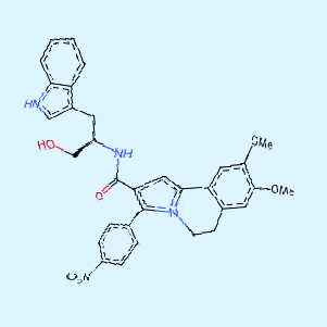 COc1cc2c(cc1OC)-c1cc(C(=O)N[C@@H](CO)Cc3c[nH]c4ccccc34)c(-c3ccc([N+](=O)[O-])cc3)n1CC2